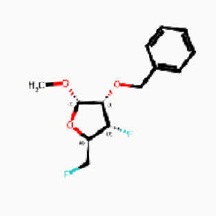 CO[C@H]1O[C@H](CF)[C@@H](F)[C@H]1OCc1ccccc1